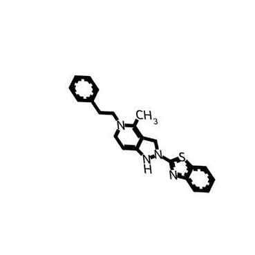 CC1=C2CN(c3nc4ccccc4s3)NC2=CCN1CCc1ccccc1